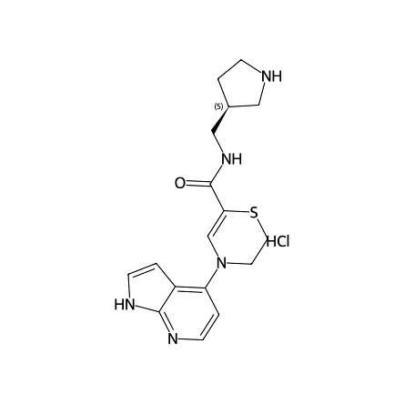 Cl.O=C(NC[C@H]1CCNC1)C1=CN(c2ccnc3[nH]ccc23)CCS1